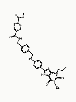 CCCn1c(=O)n(C2CC2)c(=O)c2[nH]c(-c3ccc(NCc4ccc(CNC(=O)c5ccc(C(=O)OC)cc5)cc4)nc3)nc21